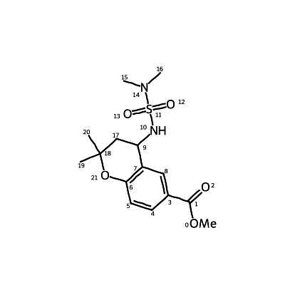 COC(=O)c1ccc2c(c1)C(NS(=O)(=O)N(C)C)CC(C)(C)O2